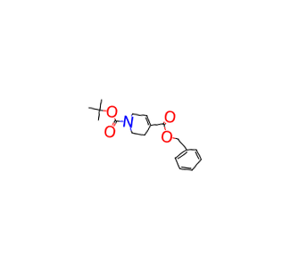 CC(C)(C)OC(=O)N1CC=C(C(=O)OCc2ccccc2)CC1